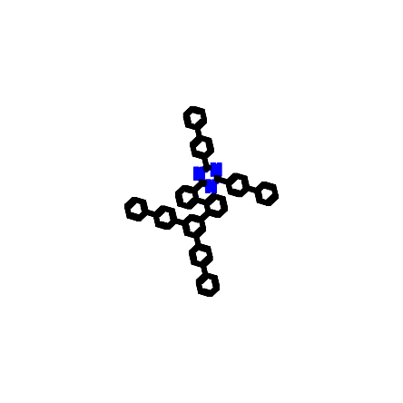 c1ccc(-c2ccc(-c3cc(-c4ccc(-c5ccccc5)cc4)cc(-c4ccccc4-c4ccccc4-c4nc(-c5ccc(-c6ccccc6)cc5)nc(-c5ccc(-c6ccccc6)cc5)n4)c3)cc2)cc1